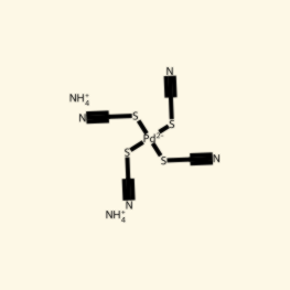 N#C[S][Pd-2]([S]C#N)([S]C#N)[S]C#N.[NH4+].[NH4+]